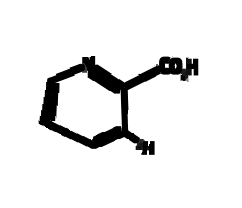 [2H]c1cccnc1C(=O)O